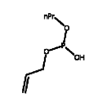 C=CCOP(O)OCCC